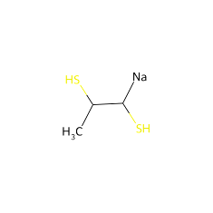 CC(S)[CH]([Na])S